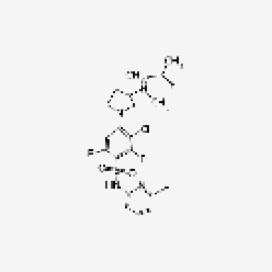 CC(F)CN(C)C1(C)CCN(c2cc(F)c(S(=O)(=O)Nc3cccc(F)n3)c(F)c2Cl)C1